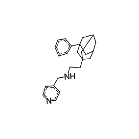 c1ccc(C23CC4CC(CC(CCNCc5ccncc5)(C4)C2)C3)cc1